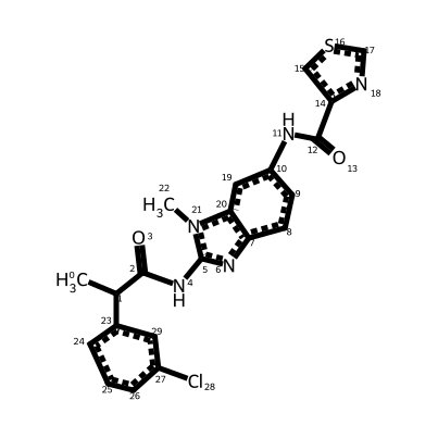 CC(C(=O)Nc1nc2ccc(NC(=O)c3cscn3)cc2n1C)c1cccc(Cl)c1